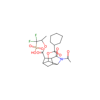 CC(=O)N1C(=O)C2C3CC(C(OC(=O)C4CCCCC4)C31)C2C(=O)OC(C)C(F)(F)S(=O)(=O)O